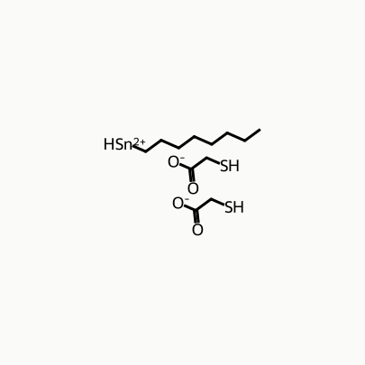 CCCCCCC[CH2][SnH+2].O=C([O-])CS.O=C([O-])CS